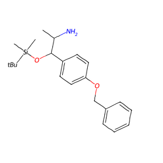 CC(N)C(O[Si](C)(C)C(C)(C)C)c1ccc(OCc2ccccc2)cc1